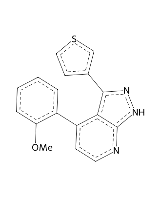 COc1ccccc1-c1ccnc2[nH]nc(-c3ccsc3)c12